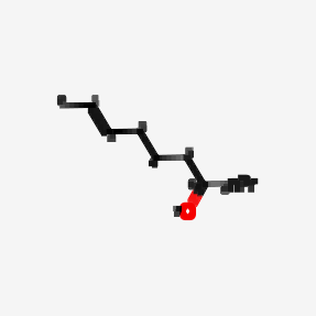 C/C=C/CCCC(=O)CCC